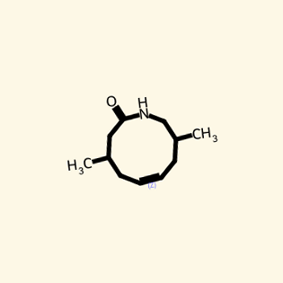 CC1C/C=C\CC(C)CC(=O)NC1